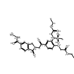 CCOC(=O)COc1ccc(C(=O)CN2Cc3cc(C(=O)NS)ccc3C2=O)cc1N(CC(=O)OCC)S(C)(=O)=O